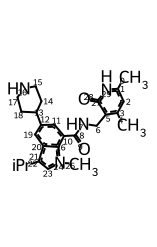 Cc1cc(C)c(CNC(=O)c2cc(C3CCNCC3)cc3c(C(C)C)cn(C)c23)c(=O)[nH]1